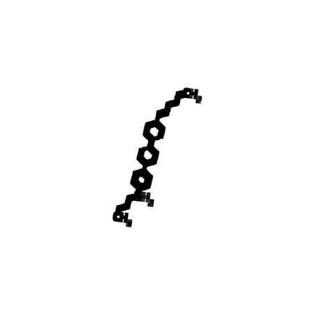 C=CCCC=C[C@H]1CC[C@H]([C@H]2CC[C@H](c3ccc([SiH2]CCCC)cc3)CC2)CC1